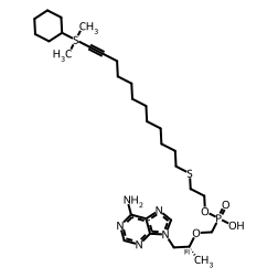 C[C@H](Cn1cnc2c(N)ncnc21)OCP(=O)(O)OCCSCCCCCCCCCCC#CS(C)(C)C1CCCCC1